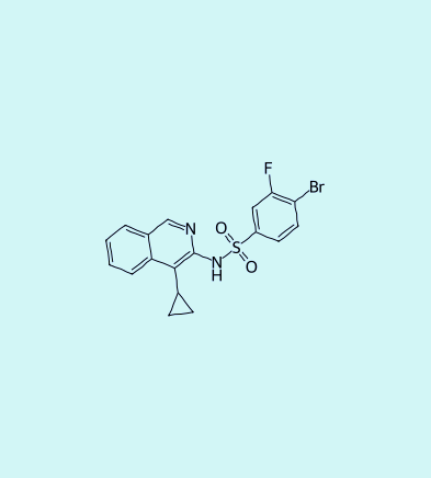 O=S(=O)(Nc1ncc2ccccc2c1C1CC1)c1ccc(Br)c(F)c1